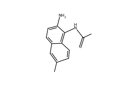 C=C(C)Nc1c(N)ccc2cc(C)ccc12